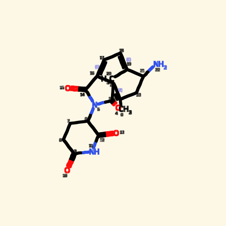 C/C1=C2/C(=O)N(C3CCC(=O)NC3=O)C(=O)/C2=C/C=C(\C)C(N)C1